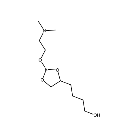 CN(C)CCOB1OCC(CCCCO)O1